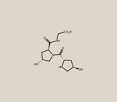 O=C(O)CNC(=O)[C@@H]1C[C@@H](O)CN1C(=O)[C@@H]1C[C@@H](O)CN1